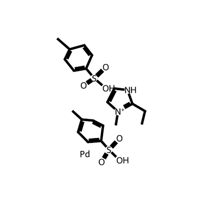 CCc1[nH]cc[n+]1C.Cc1ccc(S(=O)(=O)O)cc1.Cc1ccc(S(=O)(=O)O)cc1.[Pd]